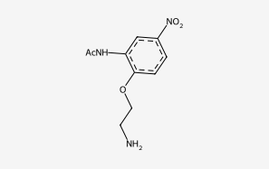 CC(=O)Nc1cc([N+](=O)[O-])ccc1OCCN